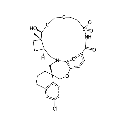 C[C@]12CC[C@@H]1CN1C[C@@]3(CCCc4cc(Cl)ccc43)COc3ccc(cc31)C(=O)NS(=O)(=O)CCCCC[C@@H]2O